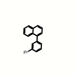 CC(C)c1[c]c(-c2cccc3ccccc23)ccc1